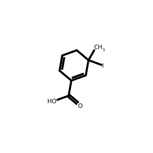 CC1(I)C=C(C(=O)O)C=CC1